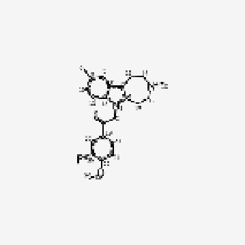 C=C(Cn1c2c(c3cc(C)ccc31)CCN(C)CC2)c1ccc(OC)c(F)c1